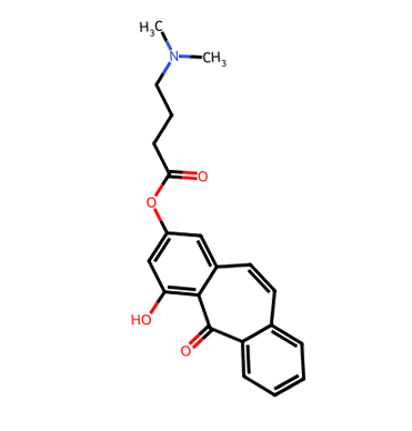 CN(C)CCCC(=O)Oc1cc(O)c2c(=O)c3ccccc3ccc2c1